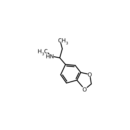 CCC(NC)c1ccc2c(c1)OCO2